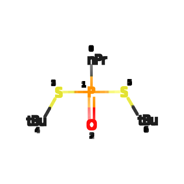 CCCP(=O)(SC(C)(C)C)SC(C)(C)C